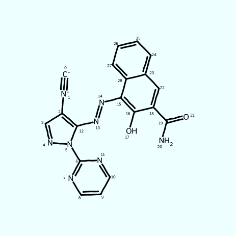 [C-]#[N+]c1cnn(-c2ncccn2)c1/N=N/c1c(O)c(C(N)=O)cc2ccccc12